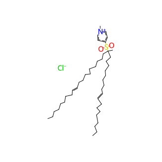 CCCCCCCCC=CCCCCCCCCCC(C)(CCCCCCCCC=CCCCCCCCC)S(=O)(=O)c1cc[n+](C)cc1.[Cl-]